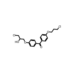 O=C(c1ccc(OCCCCl)cc1)c1ccc(OCC(O)CCl)cc1